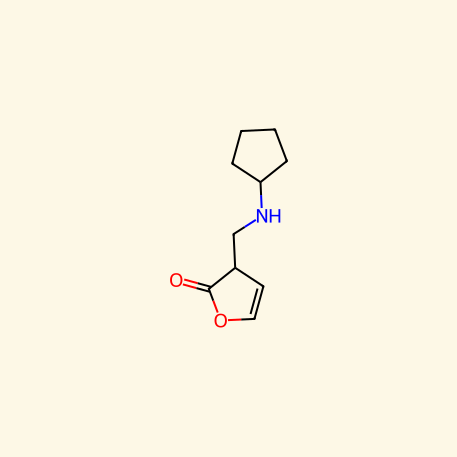 O=C1OC=CC1CNC1CCCC1